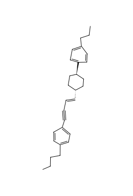 CCCCc1ccc(C#CC=C[C@H]2CC[C@H](c3ccc(CCC)cc3)CC2)cc1